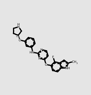 Cc1cc2c(F)c(Oc3ccnc(Nc4cccc(O[C@H]5CCNC5)c4)n3)ccc2[nH]1